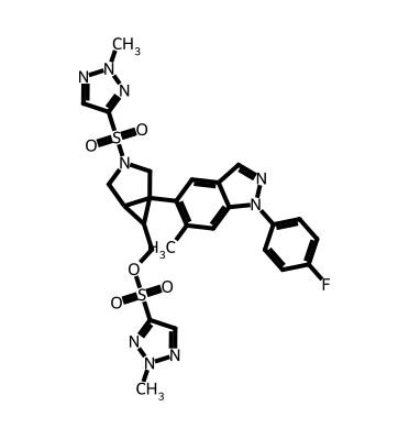 Cc1cc2c(cnn2-c2ccc(F)cc2)cc1C12CN(S(=O)(=O)c3cnn(C)n3)CC1C2COS(=O)(=O)c1cnn(C)n1